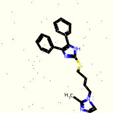 Cc1nccn1CCCCSc1nc(-c2ccccc2)c(-c2ccccc2)[nH]1